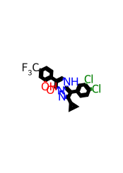 O=c1c(-c2ccc(C(F)(F)F)cc2O)c[nH]c2c(-c3ccc(Cl)c(Cl)c3)c(C3CC3)nn12